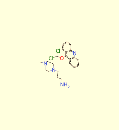 CN1CCN(CCCN)CC1.ClC(Cl)Oc1c2ccccc2nc2ccccc12